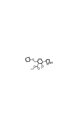 CCOC(=O)c1c(CSc2ccccc2)ccc(-c2cc[nH]n2)c1OC